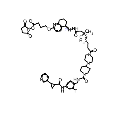 CC(C)(CC(=O)N/N=C1\CCCc2nc(OCCCC(=O)ON3C(=O)CCC3=O)ccc21)SSCCC(=O)N1CCN(C2CCN(C(=O)NCc3ccc(NC(=O)C4CC4c4cccnc4)cc3F)CC2)CC1